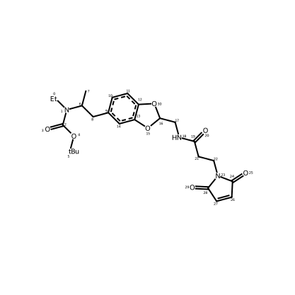 CCN(C(=O)OC(C)(C)C)C(C)Cc1ccc2c(c1)OC(CNC(=O)CCN1C(=O)C=CC1=O)O2